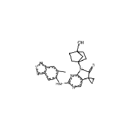 Cc1cc2nsnc2cc1Nc1ncc2c(n1)N(C13CCC(O)(CC1)C3)C(=O)C21CC1